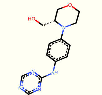 OC[C@@H]1COCCN1c1ccc(Nc2ncncn2)cc1